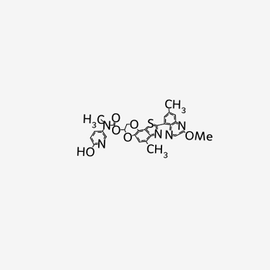 COc1cnc2c(-c3nc4c(C)cc5c(c4s3)OCC(OC(=O)N(C)c3ccc(O)nc3)O5)cc(C)cc2n1